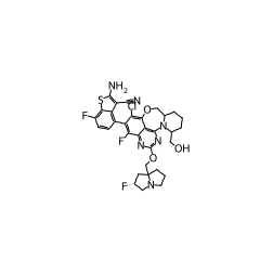 N#Cc1c(N)sc2c(F)ccc(-c3c(Cl)c4c5c(nc(OCC67CCCN6C[C@H](F)C7)nc5c3F)N3C(CO)CCCC3CO4)c12